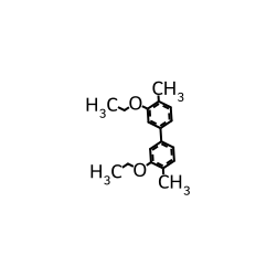 CCOc1cc(-c2ccc(C)c(OCC)c2)ccc1C